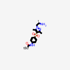 Cc1nn(C[C@H](C)N)c(C)c1S(=O)(=O)c1ccc(NC(=O)C(C)(C)C)cc1